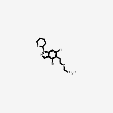 CCOC(=O)COCCc1c(Cl)cc2c(cnn2C2CCCCO2)c1Br